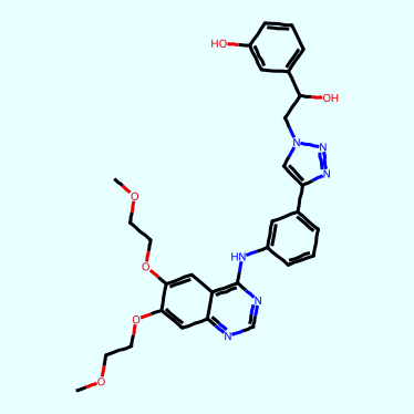 COCCOc1cc2ncnc(Nc3cccc(-c4cn(CC(O)c5cccc(O)c5)nn4)c3)c2cc1OCCOC